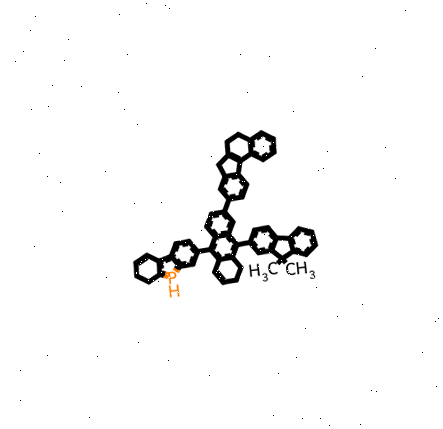 CC1(C)c2ccccc2-c2ccc(-c3c4c(c(-c5ccc6c7c([pH]c6c5)CCC=C7)c5ccc(-c6ccc7c(c6)CC6=C7c7ccccc7CC6)cc35)C=CCC4)cc21